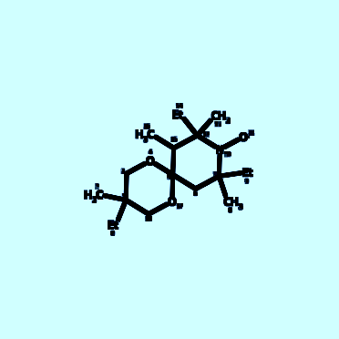 CCC1(C)COC2(CC(C)(CC)N([O])C(C)(CC)C2C)OC1